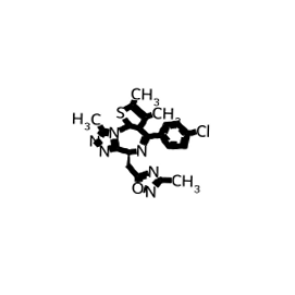 CC1=C(C)C2C(c3ccc(Cl)cc3)=N[C@@H](Cc3nc(C)no3)c3nnc(C)n3C2S1